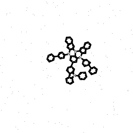 c1ccc(-c2ccc(N3c4cc5ccccc5cc4B4c5cc6ccccc6cc5N(c5ccc(-c6ccccc6)cc5)c5cc(-c6ccc7c8ccccc8n(-c8ccccc8)c7c6)cc3c54)cc2)cc1